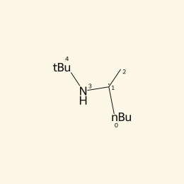 CCCC[C](C)NC(C)(C)C